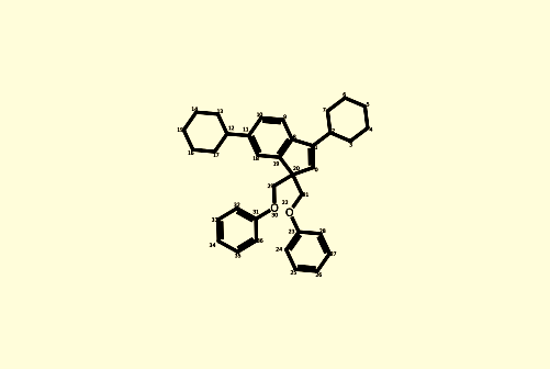 C1=C(C2CCCCC2)c2ccc(C3CCCCC3)cc2C1(COc1ccccc1)COc1ccccc1